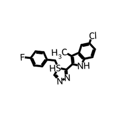 Cc1c(C2=NN=C[SH]2Cc2ccc(F)cc2)[nH]c2ccc(Cl)cc12